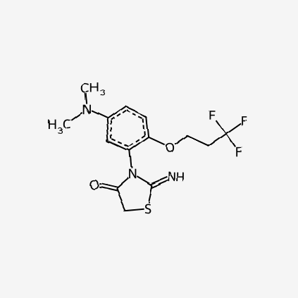 CN(C)c1ccc(OCCC(F)(F)F)c(N2C(=N)SCC2=O)c1